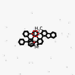 Cc1cc2c(c(-c3ccc4[se]c5ccccc5c4c3-c3ccccc3-c3nnnc(-c4ccccc4)c3-c3ccccc3-c3ccccc3)c1C)Cc1ccccc1-2